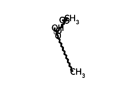 CCCCCCCCCCCCCCCCCCOC[C@H](CO)OCCCCC(=O)OC